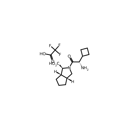 N[C@H](C(=O)N1C[C@@H]2CCC[C@@H]2[C@H]1C(=O)O)C1CCC1.O=C(O)C(F)(F)F